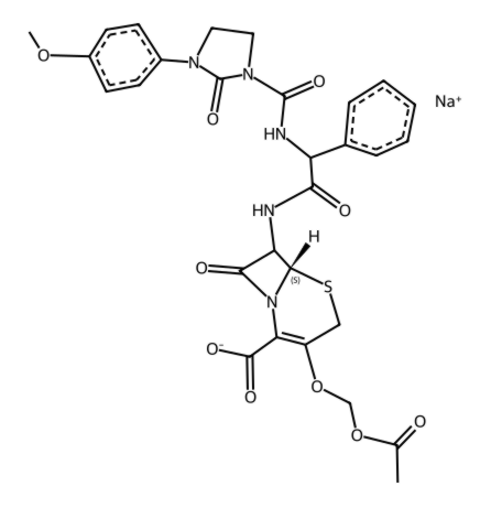 COc1ccc(N2CCN(C(=O)NC(C(=O)NC3C(=O)N4C(C(=O)[O-])=C(OCOC(C)=O)CS[C@@H]34)c3ccccc3)C2=O)cc1.[Na+]